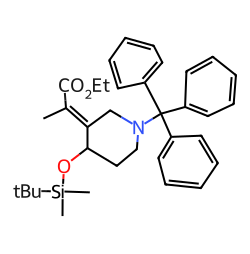 CCOC(=O)/C(C)=C1\CN(C(c2ccccc2)(c2ccccc2)c2ccccc2)CCC1O[Si](C)(C)C(C)(C)C